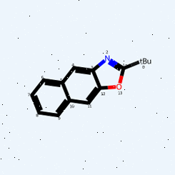 CC(C)(C)c1nc2cc3ccccc3cc2o1